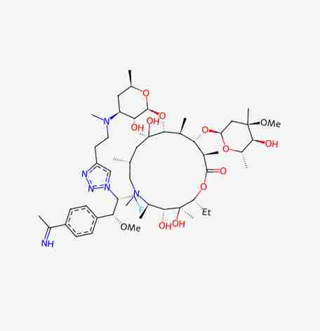 CC[C@H]1OC(=O)[C@H](C)[C@@H](O[C@H]2C[C@@](C)(OC)[C@@H](O)[C@H](C)O2)[C@H](C)[C@@H](O[C@@H]2O[C@H](C)C[C@H](N(C)CCc3cn([C@H](CF)[C@H](OC)c4ccc(C(C)=N)cc4)nn3)[C@H]2O)[C@](C)(O)C[C@@H](C)CN(C)[C@H](C)[C@@H](O)[C@]1(C)O